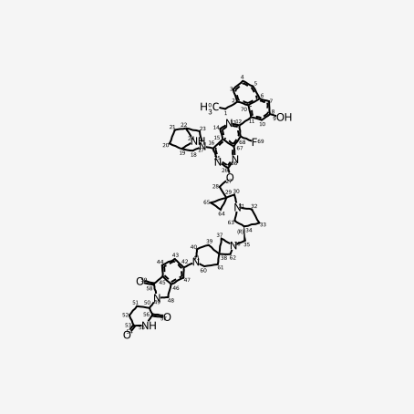 CCc1cccc2cc(O)cc(-c3ncc4c(N5CC6CCC(C5)N6)nc(OCC5(CN6CC[C@@H](CN7CC8(CCN(c9ccc%10c(c9)CN(C9CCC(=O)NC9=O)C%10=O)CC8)C7)C6)CC5)nc4c3F)c12